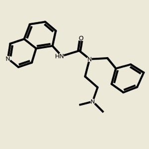 CN(C)CCN(Cc1ccccc1)C(=O)Nc1cccc2cnccc12